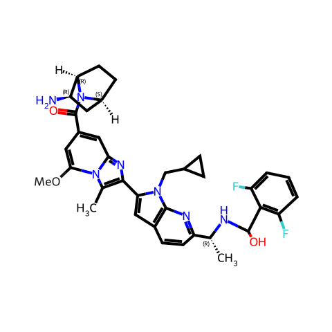 COc1cc(C(=O)N2[C@H]3CC[C@@H]2[C@H](N)C3)cc2nc(-c3cc4ccc([C@@H](C)NC(O)c5c(F)cccc5F)nc4n3CC3CC3)c(C)n12